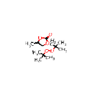 CC(C)(C)OOC(C)(C)C.CC1COC(=O)O1